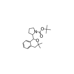 CC(C)(C)OC(=O)N1CCCC1C1OC(C)(C)Cc2ccccc21